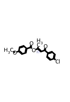 COc1ccc(C(=O)O/C(C)=C/C(=O)c2ccc(Cl)cc2)cc1